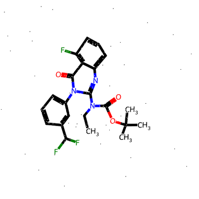 CCN(C(=O)OC(C)(C)C)c1nc2cccc(F)c2c(=O)n1-c1cccc(C(F)F)c1